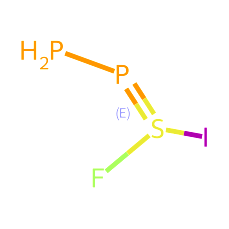 F/S(I)=P\P